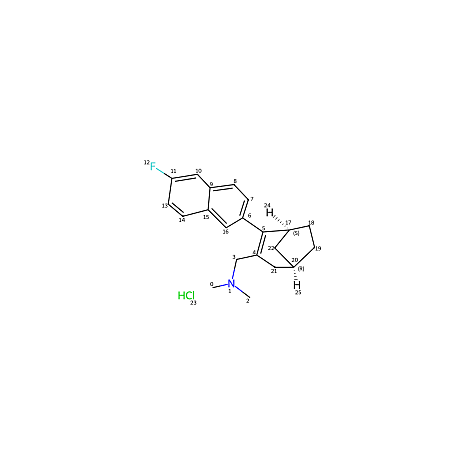 CN(C)CC1=C(c2ccc3cc(F)ccc3c2)[C@H]2CC[C@@H](C1)C2.Cl